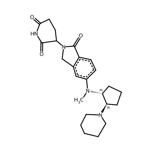 CN(c1ccc2c(c1)CN(C1CCC(=O)NC1=O)C2=O)[C@@H]1CCC[C@H]1N1CCCCC1